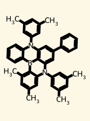 Cc1cc(C)cc(N2c3ccccc3B3c4c(C)cc(C)cc4N(c4cc(C)cc(C)c4)c4cc(-c5ccccc5)cc2c43)c1